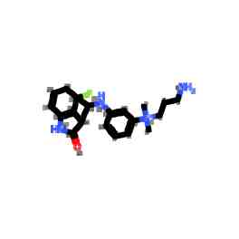 C[N+](C)(CCCN)c1cccc(NC2C3C(=O)NC4=C3C2(F)CC=C4)c1